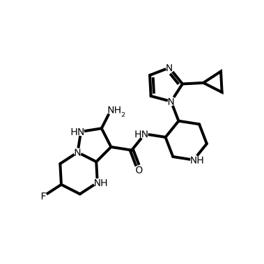 NC1NN2CC(F)CNC2C1C(=O)NC1CNCCC1n1ccnc1C1CC1